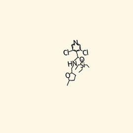 CC[Si](CC)(CC)OC(CNCC1CCC(C)O1)c1c(Cl)cncc1Cl